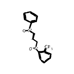 [O-][S+](C[CH]C[S+]([O-])c1ccccc1C(F)(F)F)c1ccccc1